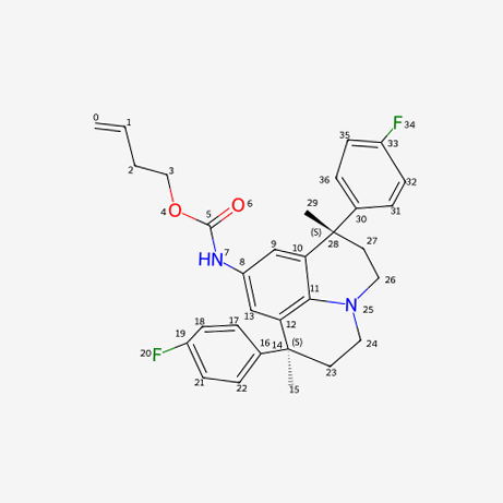 C=CCCOC(=O)Nc1cc2c3c(c1)[C@](C)(c1ccc(F)cc1)CCN3CC[C@@]2(C)c1ccc(F)cc1